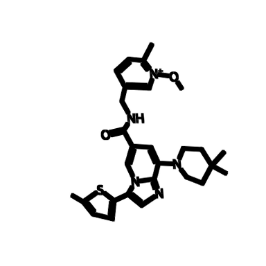 CO[n+]1cc(CNC(=O)c2cc(N3CCC(C)(C)CC3)c3ncc(-c4ccc(C)s4)n3c2)ccc1C